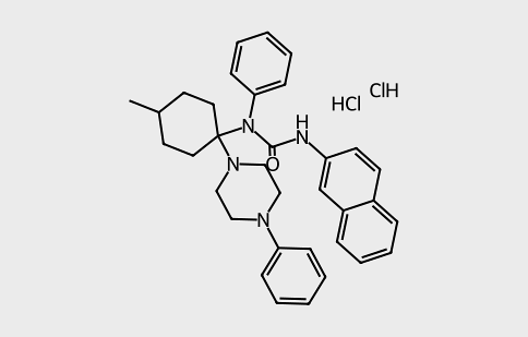 CC1CCC(N2CCN(c3ccccc3)CC2)(N(C(=O)Nc2ccc3ccccc3c2)c2ccccc2)CC1.Cl.Cl